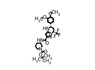 COc1ccc([C@@H]2C[C@@H](C(F)(F)F)n3nc(C(=O)N[C@H]4CCCN(C(=O)OC(C)(C)C)C4)cc3N2)cc1OC